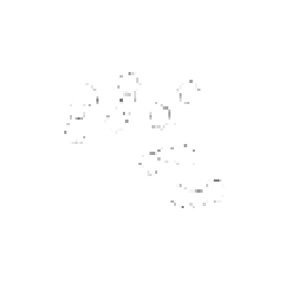 c1ccc(-c2nc(-n3c4ccccc4c4c(-c5cccc6oc7ccccc7c56)cccc43)nc(-n3c4ccccc4c4c(-c5cccc6oc7ccccc7c56)cccc43)n2)cc1